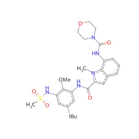 COc1c(NC(=O)c2cc3cccc(NC(=O)N4CCOCC4)c3n2C)cc(C(C)(C)C)cc1NS(C)(=O)=O